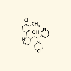 Cc1cc(-c2ncccc2[C@@H](O)[C@H](c2cccnc2)N2CCOCC2)ccc1Cl